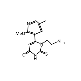 COc1ncc(C)cc1-c1cc(=O)[nH]c(=S)n1CCN